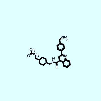 NCc1ccc(-c2cc(C(=O)NCC3CCC(CNC(=O)O)CC3)c3ccccc3n2)cc1